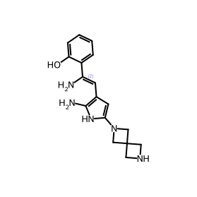 N/C(=C\c1cc(N2CC3(CNC3)C2)[nH]c1N)c1ccccc1O